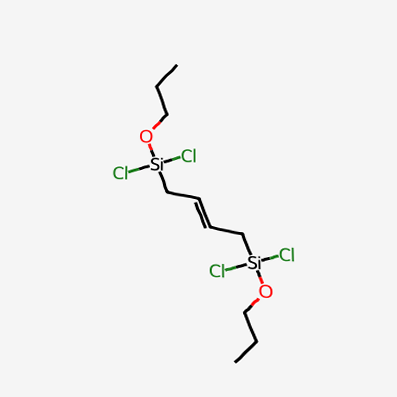 CCCO[Si](Cl)(Cl)C/C=C/C[Si](Cl)(Cl)OCCC